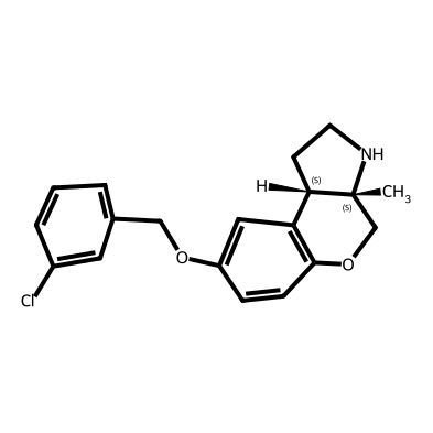 C[C@@]12COc3ccc(OCc4cccc(Cl)c4)cc3[C@@H]1CCN2